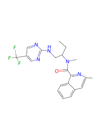 CCC(CNc1ncc(C(F)(F)F)cn1)N(C)C(=O)c1nc(C)cc2ccccc12